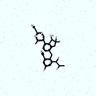 Cc1nc(C#N)ncc1-c1ccc(Cc2c(C#N)cc(F)cc2C(F)C(C)F)c2c1C(O)C(F)(F)C2